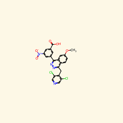 COc1ccc2c(Cc3c(Cl)cncc3Cl)nnc(-c3cc(C(=O)O)cc([N+](=O)[O-])c3)c2c1